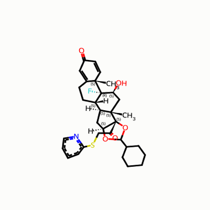 C[C@]12C=CC(=O)C=C1CC[C@H]1[C@@H]3C[C@@H]4OC(C5CCCCC5)O[C@@]4(C(=O)CSc4ccccn4)[C@@]3(C)C[C@H](O)[C@@]12F